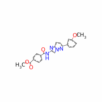 COC(=O)c1ccc(C(=O)Nc2cn3nc(-c4cccc(OC)c4)ccc3n2)cc1